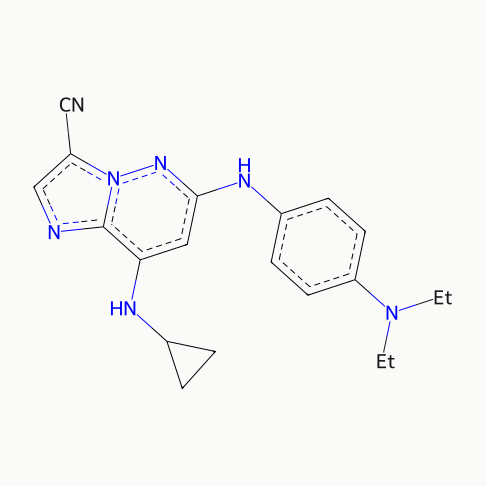 CCN(CC)c1ccc(Nc2cc(NC3CC3)c3ncc(C#N)n3n2)cc1